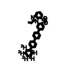 [2H]c1c([2H])c([2H])c(-c2ccc(-c3ccc(-c4ccc5c(c4)-n4c(CC)nc6cccc(c64)S5(=O)=O)cc3)cc2)c([2H])c1[2H]